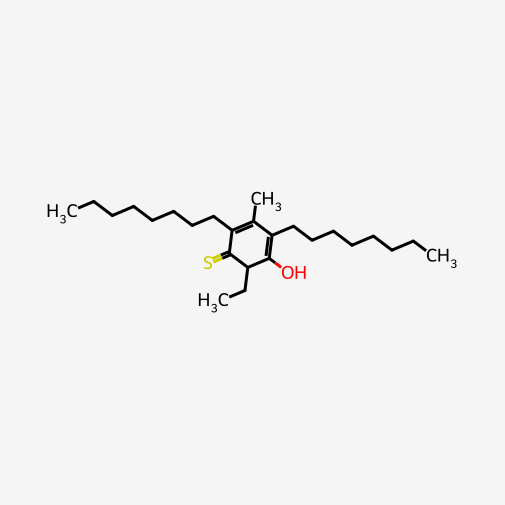 CCCCCCCCC1=C(C)C(CCCCCCCC)=C(O)C(CC)C1=S